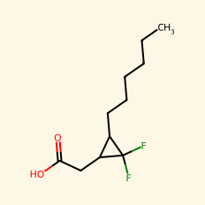 CCCCCCC1C(CC(=O)O)C1(F)F